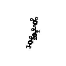 O=C(COc1ccc(Cl)c(Cl)c1)NC12CCC(NC(=O)c3ccc(C(F)F)cn3)(CC1)CC2